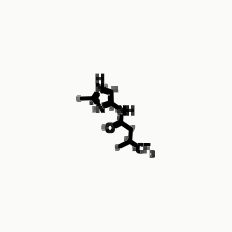 Cc1nc(NC(=O)CC(C)C(F)(F)F)c[nH]1